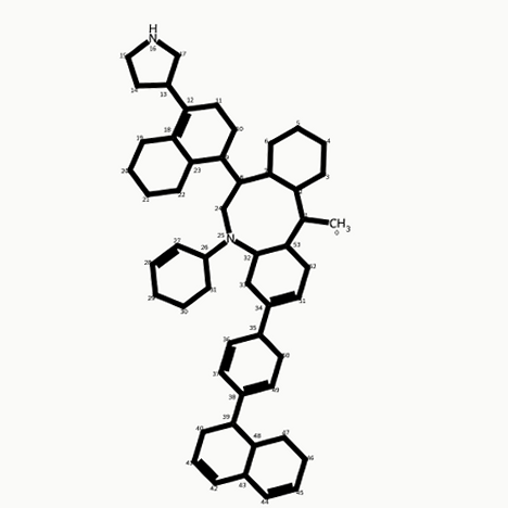 CC1C2CCCCC2C(C2CCC(C3CCNC3)=C3CCCCC32)CN(C2C=CCCC2)C2CC(C3C=CC(C4CC=CC5C=CCCC54)=CC3)=CCC12